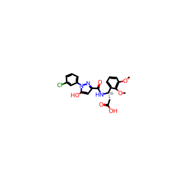 COc1cccc([C@H](CC(=O)O)NC(=O)c2cc(O)n(-c3cccc(Cl)c3)n2)c1OC